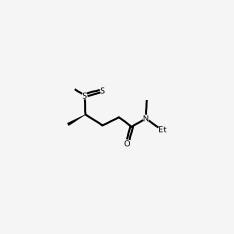 CCN(C)C(=O)CC[C@@H](C)S(C)=S